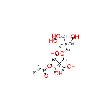 C=CC(=O)OC(O)C(CO)(CO)COCC(CO)(CO)CO